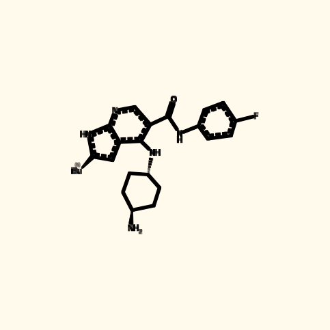 CC[C@H](C)c1cc2c(N[C@H]3CC[C@H](N)CC3)c(C(=O)Nc3ccc(F)cc3)cnc2[nH]1